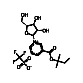 CCC(C)(C)OC(=O)c1ccc[n+]([C@@H]2O[C@H](CO)[C@@H](O)[C@H]2O)c1.O=S(=O)([O-])C(F)(F)F